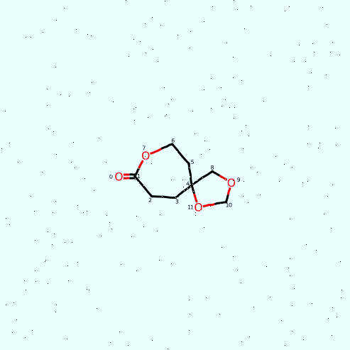 O=C1CCC2(CCO1)COCO2